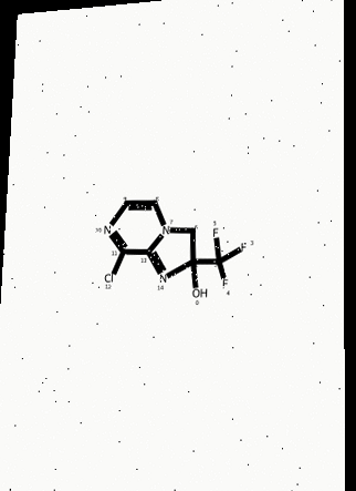 OC1(C(F)(F)F)CN2C=CN=C(Cl)C2=N1